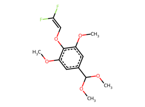 COc1cc(C(OC)OC)cc(OC)c1OC=C(F)F